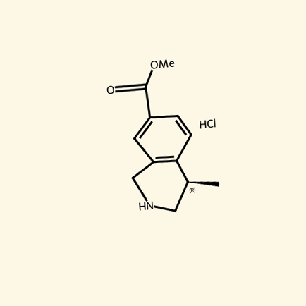 COC(=O)c1ccc2c(c1)CNC[C@@H]2C.Cl